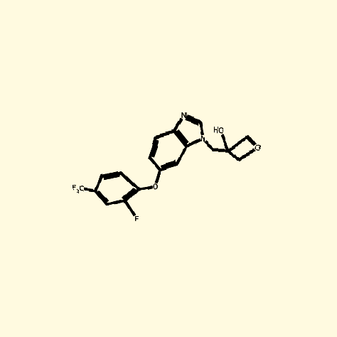 OC1(Cn2cnc3ccc(Oc4ccc(C(F)(F)F)cc4F)cc32)COC1